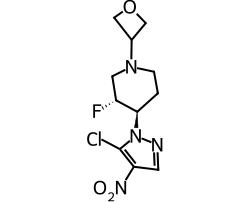 O=[N+]([O-])c1cnn([C@@H]2CCN(C3COC3)C[C@H]2F)c1Cl